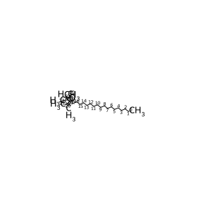 CCCCCCCCCCCCCCCCCC[Si](OC)(C(C)C)C(C)C